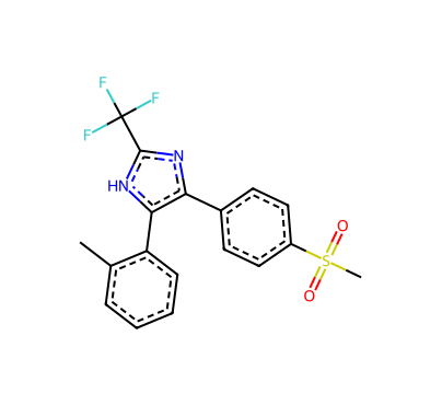 Cc1ccccc1-c1[nH]c(C(F)(F)F)nc1-c1ccc(S(C)(=O)=O)cc1